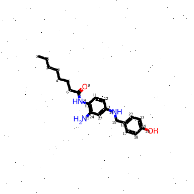 CCCCCCCC(=O)Nc1ccc(NCc2ccc(O)cc2)cc1N